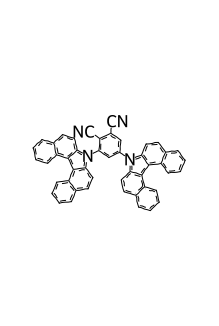 N#Cc1cc(-n2c3ccc4ccccc4c3c3c4ccccc4ccc32)cc(-n2c3ccc4ccccc4c3c3c4ccccc4ccc32)c1C#N